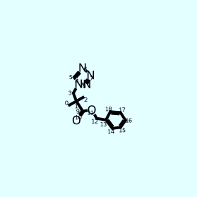 CC(C)(Cn1cnnn1)C(=O)OCc1ccccc1